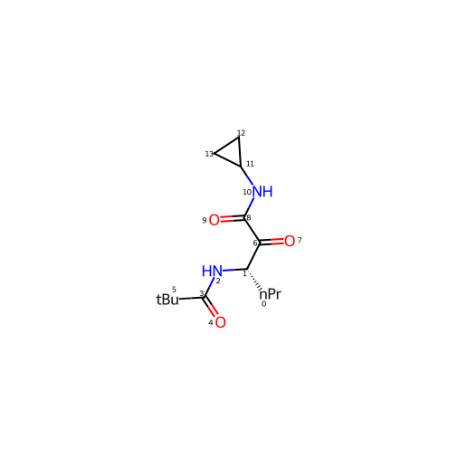 CCC[C@H](NC(=O)C(C)(C)C)C(=O)C(=O)NC1CC1